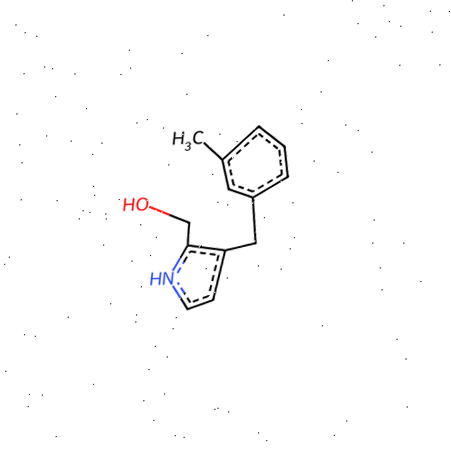 Cc1cccc(Cc2cc[nH]c2CO)c1